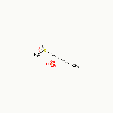 CCCCCCCCCCCCCCCCCCSC(C)CC(C)O.O=P(O)(O)O